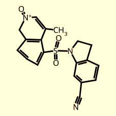 CC1=C[N+](=O)Cc2cccc(S(=O)(=O)N3CCc4ccc(C#N)cc43)c21